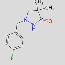 CC1(C)CN(Cc2ccc(F)cc2)NC1=O